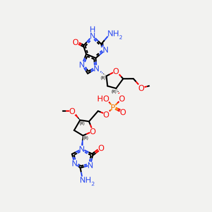 COCC1O[C@@H](n2cnc3c(=O)[nH]c(N)nc32)C[C@H]1OP(=O)(O)OCC1O[C@@H](n2cnc(N)nc2=O)C[C@H]1OC